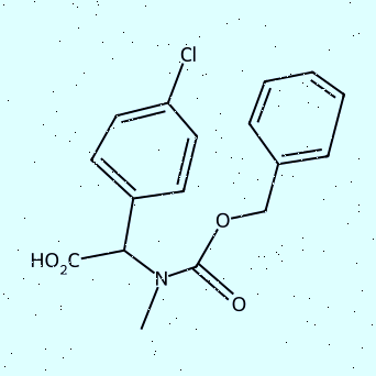 CN(C(=O)OCc1ccccc1)C(C(=O)O)c1ccc(Cl)cc1